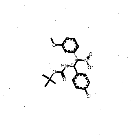 COc1cccc([C@@H]([C@H](NC(=O)OC(C)(C)C)c2ccc(Cl)cc2)[N+](=O)[O-])c1